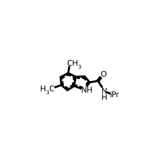 Cc1cc(C)c2cc(C(=O)NC(C)C)[nH]c2c1